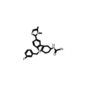 CC1=CSC(c2ccc3c(c2)c2c(n3Cc3cccc(F)c3)CCC(NC(=O)C(C)C)C2)N1C